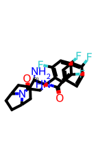 N[C@H](Cc1cc(F)c(F)cc1F)C1CC2CCC(C1)N2C(=O)CNC(=O)c1ccc(F)cc1